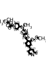 COCOc1cc(-c2ccnc(F)c2)ccc1-c1nc2sc(N(C)C3CCN(C(=O)OC(C)(C)C)CC3)nc2s1